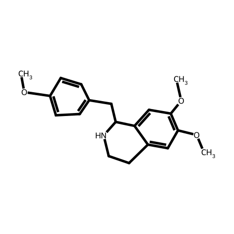 COc1ccc(CC2NCCc3cc(OC)c(OC)cc32)cc1